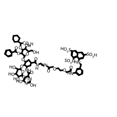 CC1OC(OC2C(NC(=O)c3cc(O)nc(O)n3)CC(C(=O)NCCNC(=O)COCCOCC(=O)Nc3cccc(CNc4cc(S(=O)(=O)O)cc5cc(S(=O)(=O)O)cc(S(=O)(=O)O)c45)c3)CC2OC2OC(CO)C(O)C(OC(C(=O)O)C3CCCCC3)C2OC(=O)c2ccccc2)C(O)C(O)C1O